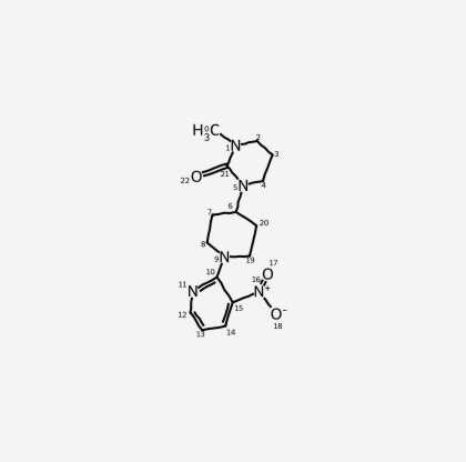 CN1CCCN(C2CCN(c3ncccc3[N+](=O)[O-])CC2)C1=O